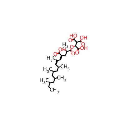 CCC(C)CC(C)CC(C)CC(C)C=C(C)C=C(CC(C)C(=O)OC(C(=O)O)C(C(=O)O)C(=O)O)C(=O)O